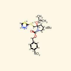 C[SiH](C)O[C@]1(CSc2nncs2)C[C@H](C(C)(C)C)CN1C(=O)OCc1ccc([N+](=O)[O-])cc1